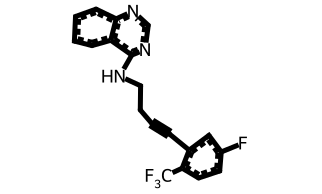 Fc1ccc(C(F)(F)F)c(C#CCCNc2ncnc3ccccc23)c1